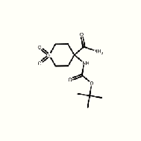 CC(C)(C)OC(=O)NC1(C(N)=O)CCS(=O)(=O)CC1